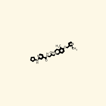 Cc1c(OCc2ccnn2C)ccc2c1CCN(CC(O)CNC(=O)c1ccnc(NC3CCCC3)c1)C2